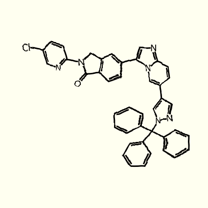 O=C1c2ccc(-c3cnc4ccc(-c5cnn(C(c6ccccc6)(c6ccccc6)c6ccccc6)c5)cn34)cc2CN1c1ccc(Cl)cn1